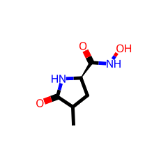 CC1C[C@H](C(=O)NO)NC1=O